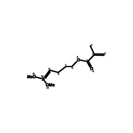 C=C(C)C(=O)OCCCC=[Si](OC)OC